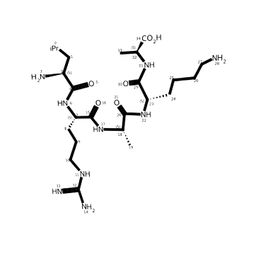 CC(C)C[C@H](N)C(=O)N[C@@H](CCCNC(=N)N)C(=O)N[C@@H](C)C(=O)N[C@@H](CCCCN)C(=O)N[C@@H](C)C(=O)O